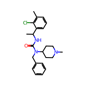 Cc1cccc(C(C)NC(=O)N(Cc2ccccc2)C2CCN(C)CC2)c1Cl